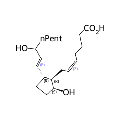 CCCCCC(O)/C=C/[C@H]1CC[C@H](O)[C@@H]1C/C=C\CCCC(=O)O